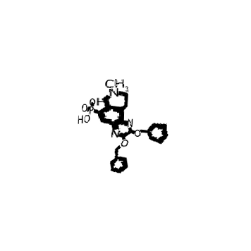 CN1CCc2c(c(P(=O)(O)O)cc3nc(OCc4ccccc4)c(OCc4ccccc4)nc23)C1